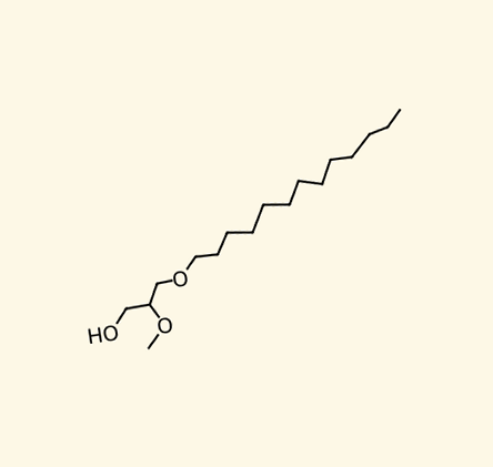 CCCCCCCCCCCCCOCC(CO)OC